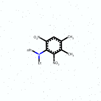 CCCN(CC)c1c([N+](=O)[O-])cc(C)c(C)c1[N+](=O)[O-]